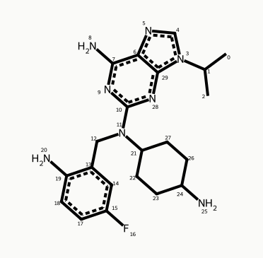 CC(C)n1cnc2c(N)nc(N(Cc3cc(F)ccc3N)C3CCC(N)CC3)nc21